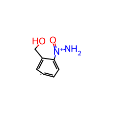 N[N+](=O)c1cc[c]cc1CO